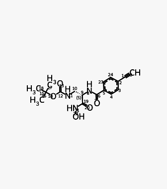 C#Cc1ccc(C(=O)N[C@@H](CNC(=O)OC(C)(C)C)C(=O)NO)cc1